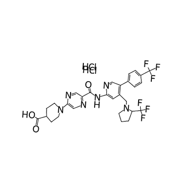 Cl.Cl.O=C(Nc1cc(CN2CCCC2C(F)(F)F)c(-c2ccc(C(F)(F)F)cc2)cn1)c1cnc(N2CCC(C(=O)O)CC2)cn1